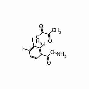 CC(=O)C(C)=O.NOC(=O)c1ccc(I)c(I)c1I